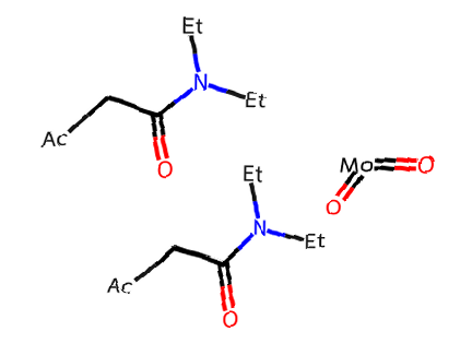 CCN(CC)C(=O)CC(C)=O.CCN(CC)C(=O)CC(C)=O.[O]=[Mo]=[O]